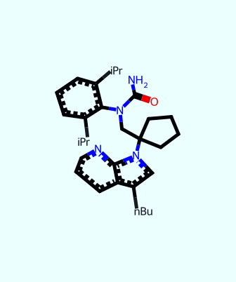 CCCCc1cn(C2(CN(C(N)=O)c3c(C(C)C)cccc3C(C)C)CCCC2)c2ncccc12